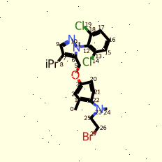 Cc1cc(OCc2c(C(C)C)cnn2-c2c(Cl)cccc2Cl)ccc1N(C)CCBr